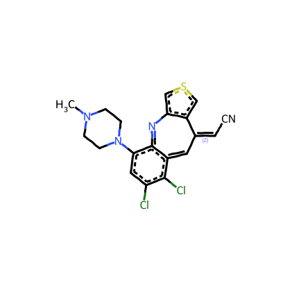 CN1CCN(c2cc(Cl)c(Cl)c3c2=Nc2cscc2/C(=C\C#N)C=3)CC1